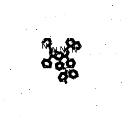 Cc1cccc([Si](c2ccccc2)(c2ccccc2)c2cccc(-c3cc(-c4cccc5cccnc45)nc4c3ccc3c(-c5ccccc5)cc(-c5ccccn5)nc34)c2)c1